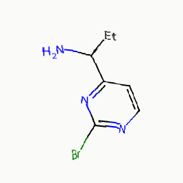 CCC(N)c1ccnc(Br)n1